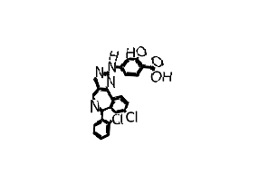 O=C(O)c1ccc(Nc2ncc3c(n2)-c2ccc(Cl)cc2C(c2ccccc2Cl)=NC3)cc1O